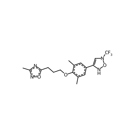 Cc1noc(CCCOc2c(C)cc(C3=CN(C(F)(F)F)ON3)cc2C)n1